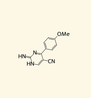 COc1ccc(-c2nc(=N)[nH]cc2C#N)cc1